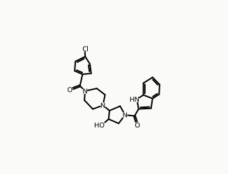 O=C(c1ccc(Cl)cc1)N1CCN(C2CN(C(=O)c3cc4ccccc4[nH]3)CC2O)CC1